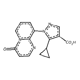 O=C(O)c1cnn(-c2cccn3c(=O)ccnc23)c1C1CC1